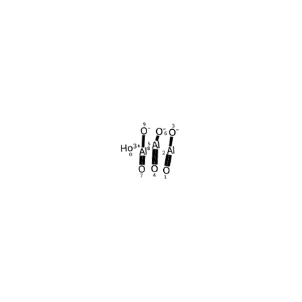 [Ho+3].[O]=[Al][O-].[O]=[Al][O-].[O]=[Al][O-]